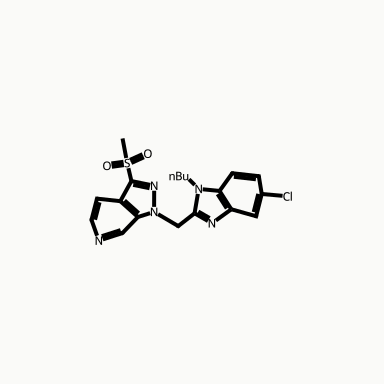 CCCCn1c(Cn2nc(S(C)(=O)=O)c3ccncc32)nc2cc(Cl)ccc21